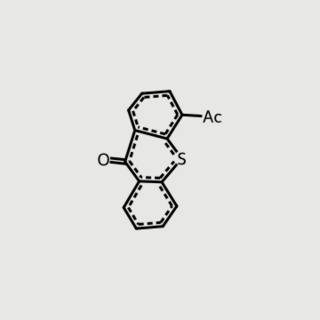 CC(=O)c1cccc2c(=O)c3ccccc3sc12